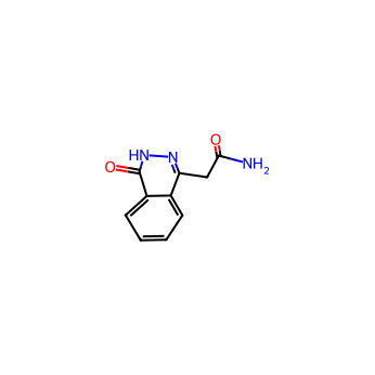 NC(=O)Cc1n[nH]c(=O)c2ccccc12